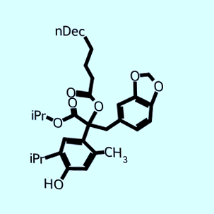 CCCCCCCCCCCCCC(=O)OC(Cc1ccc2c(c1)OCO2)(C(=O)OC(C)C)c1cc(C(C)C)c(O)cc1C